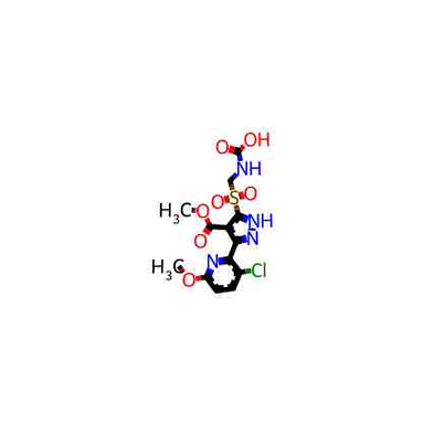 COC(=O)c1c(-c2nc(OC)ccc2Cl)n[nH]c1S(=O)(=O)CNC(=O)O